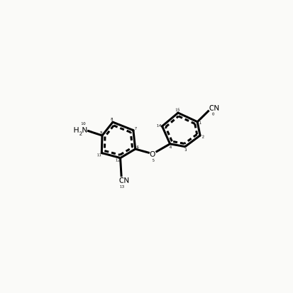 N#Cc1ccc(Oc2ccc(N)cc2C#N)cc1